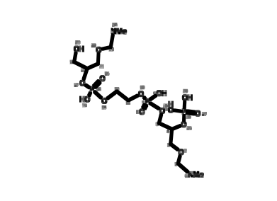 CNCOCC(COP(=O)(O)OCCOP(=O)(O)OC(CO)COCNC)OP(=O)(O)O